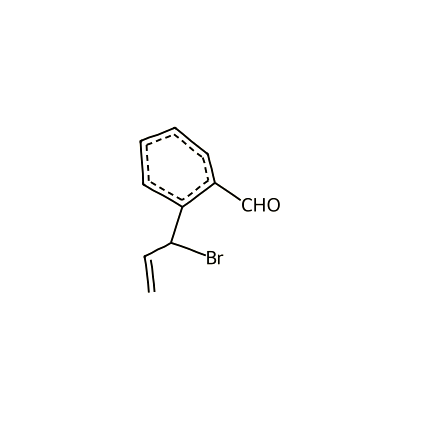 C=CC(Br)c1ccccc1C=O